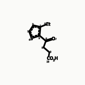 CCc1ccsc1C(=O)CCC(=O)O